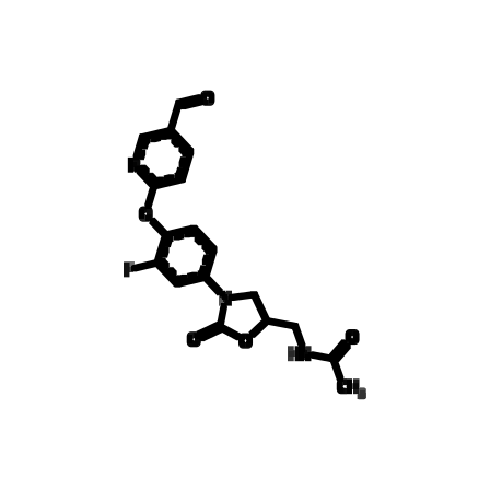 CC(=O)NCC1CN(c2ccc(Oc3ccc(C=O)cn3)c(F)c2)C(=O)O1